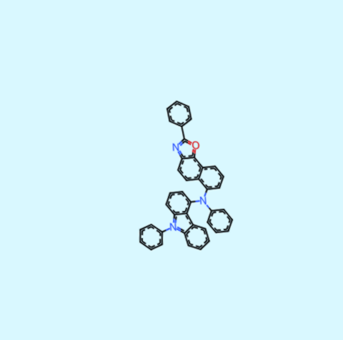 c1ccc(-c2nc3ccc4c(N(c5ccccc5)c5cccc6c5c5ccccc5n6-c5ccccc5)cccc4c3o2)cc1